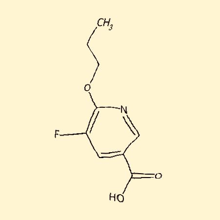 CCCOc1ncc(C(=O)O)cc1F